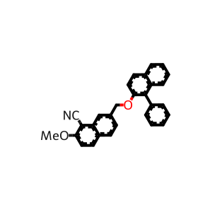 COc1ccc2ccc(COc3ccc4ccccc4c3-c3ccccc3)cc2c1C#N